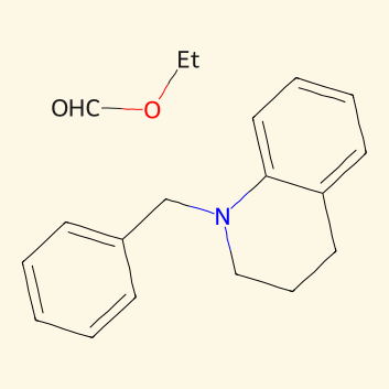 CCOC=O.c1ccc(CN2CCCc3ccccc32)cc1